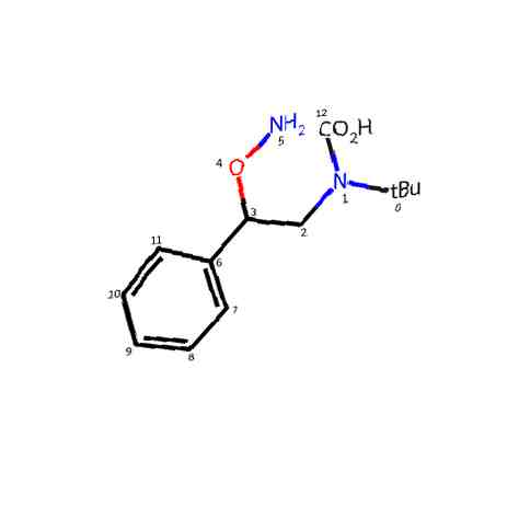 CC(C)(C)N(CC(ON)c1ccccc1)C(=O)O